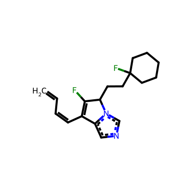 C=C/C=C\C1=C(F)C(CCC2(F)CCCCC2)n2cncc21